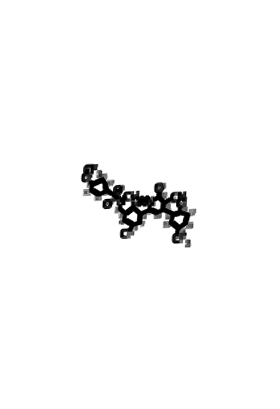 CN(Cc1cc(Cl)cc(-c2cc(-c3cc(C(F)(F)F)ccc3Cl)c(C#N)c(=O)[nH]2)c1O)S(=O)(=O)c1ccc(OC(F)(F)F)cc1